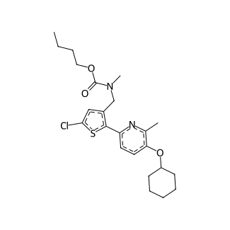 CCCCOC(=O)N(C)Cc1cc(Cl)sc1-c1ccc(OC2CCCCC2)c(C)n1